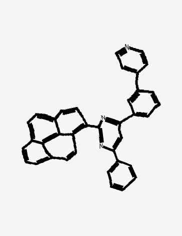 c1ccc(-c2cc(-c3cccc(-c4ccncc4)c3)nc(-c3ccc4ccc5cccc6ccc3c4c56)n2)cc1